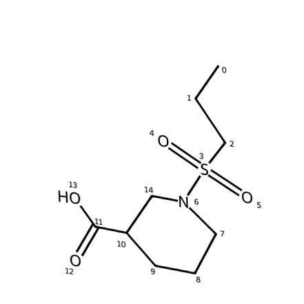 CCCS(=O)(=O)N1CCCC(C(=O)O)C1